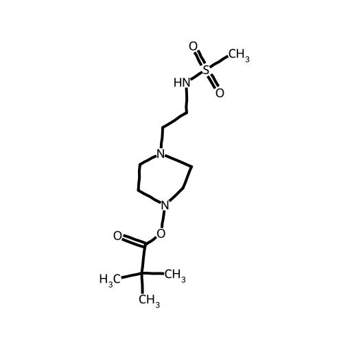 CC(C)(C)C(=O)ON1CCN(CCNS(C)(=O)=O)CC1